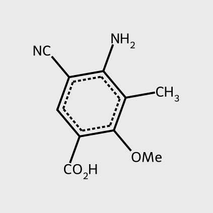 COc1c(C(=O)O)cc(C#N)c(N)c1C